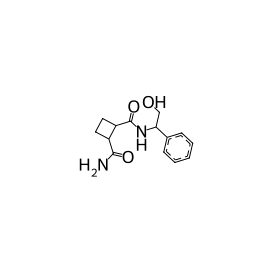 NC(=O)C1CCC1C(=O)NC(CO)c1ccccc1